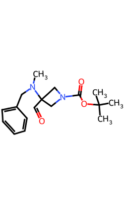 CN(Cc1ccccc1)C1(C=O)CN(C(=O)OC(C)(C)C)C1